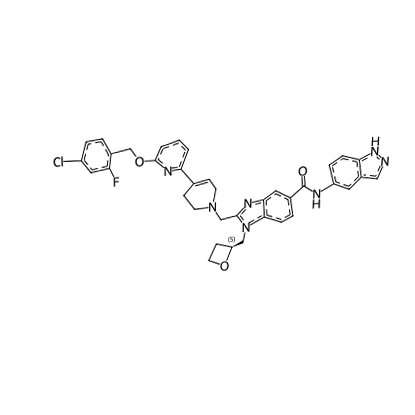 O=C(Nc1ccc2[nH]ncc2c1)c1ccc2c(c1)nc(CN1CC=C(c3cccc(OCc4ccc(Cl)cc4F)n3)CC1)n2C[C@@H]1CCO1